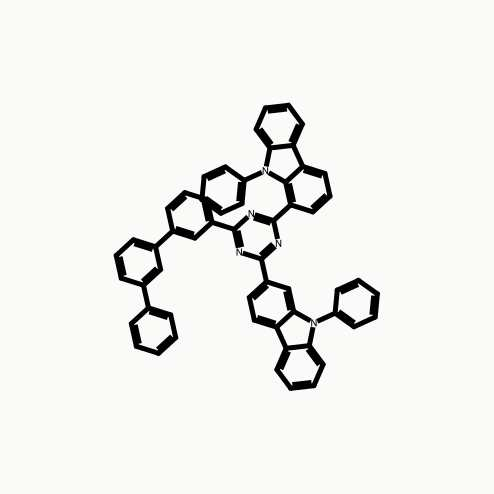 c1ccc(-c2cccc(-c3cccc(-c4nc(-c5ccc6c7ccccc7n(-c7ccccc7)c6c5)nc(-c5cccc6c7ccccc7n(-c7ccccc7)c56)n4)c3)c2)cc1